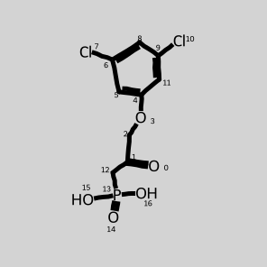 O=C(COc1cc(Cl)cc(Cl)c1)CP(=O)(O)O